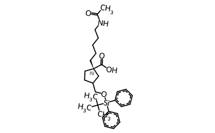 CC(=O)NCCCCC[C@]1(C(=O)O)CCC(CO[Si](c2ccccc2)(c2ccccc2)C(C)(C)C)C1